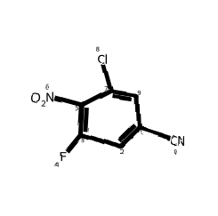 N#Cc1cc(F)c([N+](=O)[O-])c(Cl)c1